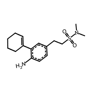 CN(C)S(=O)(=O)CCc1ccc(N)c(C2=CCCCC2)c1